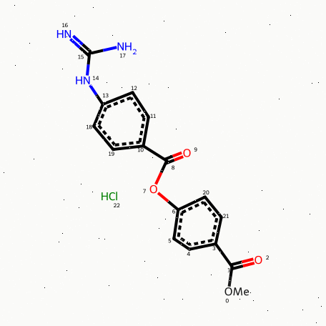 COC(=O)c1ccc(OC(=O)c2ccc(NC(=N)N)cc2)cc1.Cl